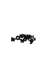 N#Cc1cc(Br)ccc1N1CC[C@H](NC(=O)[C@@H](N)Cc2cccs2)C1